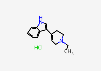 CCN1CC=C(c2c[nH]c3ccccc23)CC1.Cl